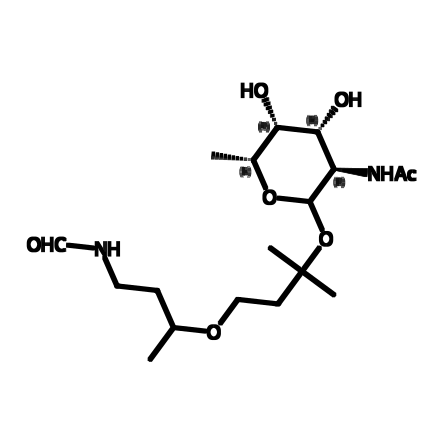 CC(=O)N[C@H]1C(OC(C)(C)CCOC(C)CCNC=O)O[C@H](C)[C@H](O)[C@@H]1O